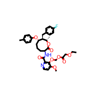 CCOCC(=O)OCOc1c(OC)ccnc1C(=O)N[C@H]1CCC[C@H](Oc2ccc(C)cc2)[C@@H](Cc2ccc(F)cc2)[C@H](C)OC1=O